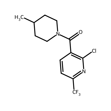 CC1CCN(C(=O)c2ccc(C(F)(F)F)nc2Cl)CC1